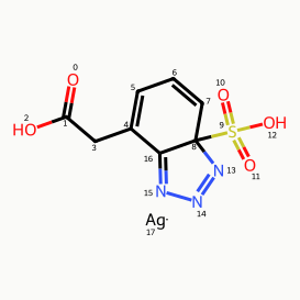 O=C(O)CC1=CC=CC2(S(=O)(=O)O)N=NN=C12.[Ag]